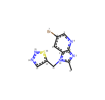 Cc1nc2ncc(Br)cc2n1Cc1cnns1